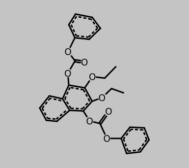 CCOc1c(OCC)c(OC(=O)Oc2ccccc2)c2ccccc2c1OC(=O)Oc1ccccc1